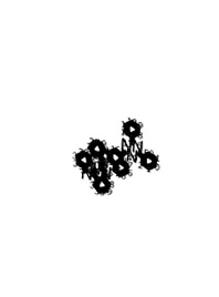 c1ccc(-c2nc(-c3ccccc3)nc(-c3cc4c5ccccc5n(-c5nc6ccccc6c6nc7ccccc7n56)c4c4ccccc34)n2)cc1